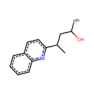 CCCC(O)CC(C)c1ccc2ccccc2n1